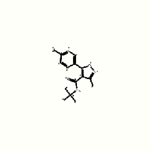 Cc1noc(-c2cnc(Cl)cn2)c1C(=O)OC(C)(C)C